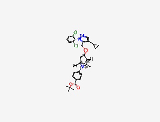 C[C@@H]1[C@@H]2C[C@@H](C[C@H]2OCc2c(C3CC3)cnn2-c2c(Cl)cccc2Cl)N1c1ccc(C(=O)OC(C)(C)C)cc1